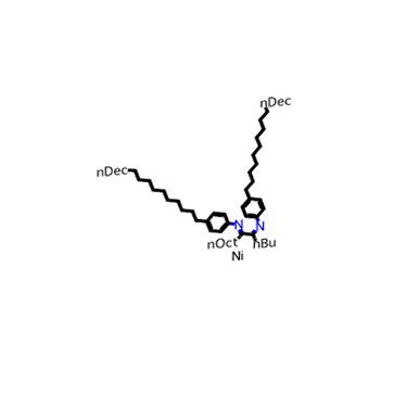 CCCCCCCCCCCCCCCCCCCCc1ccc(N=C(CCCC)C(CCCCCCCC)=Nc2ccc(CCCCCCCCCCCCCCCCCCCC)cc2)cc1.[Ni]